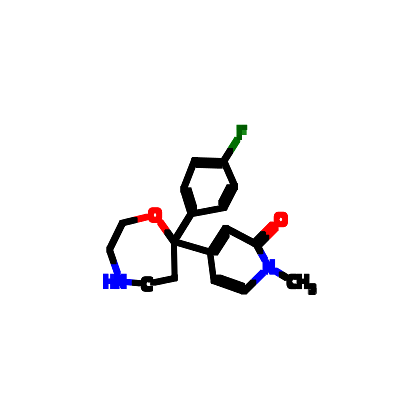 Cn1ccc(C2(c3ccc(F)cc3)CCNCCO2)cc1=O